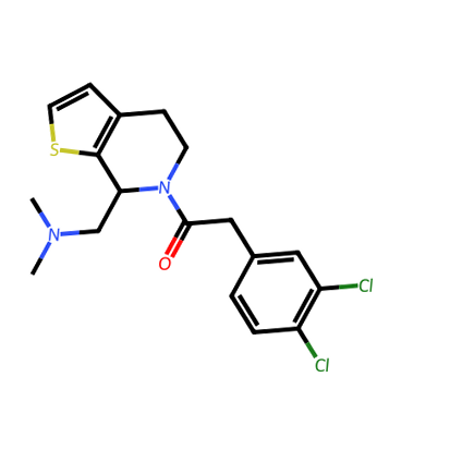 CN(C)CC1c2sccc2CCN1C(=O)Cc1ccc(Cl)c(Cl)c1